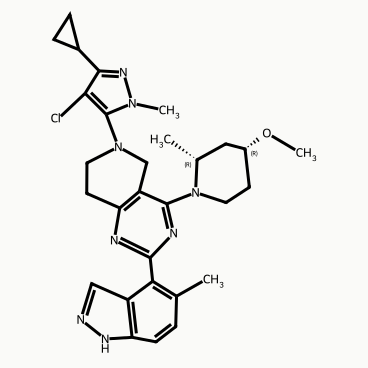 CO[C@@H]1CCN(c2nc(-c3c(C)ccc4[nH]ncc34)nc3c2CN(c2c(Cl)c(C4CC4)nn2C)CC3)[C@H](C)C1